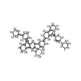 c1ccc(-c2ccc(-n3c4ccccc4c4ccc(-c5ccc6c(c5)-c5cc7c(cc5C65CCCCC5)c5ccccc5n7-c5cccc(-c6ccccc6)c5)cc43)cc2)cc1